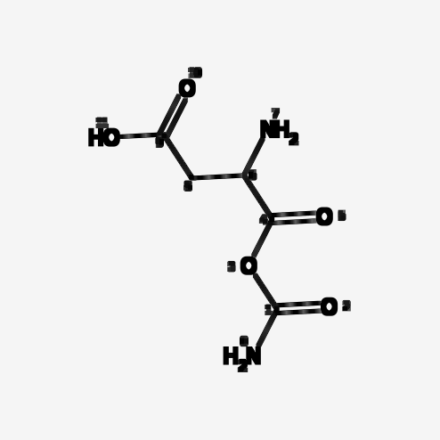 NC(=O)OC(=O)C(N)CC(=O)O